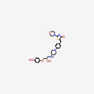 O=C1N=C(N2CCOCC2)SC1=Cc1ccc(N2CCC(NC[C@H](O)COc3ccc(O)cc3)CC2)cc1